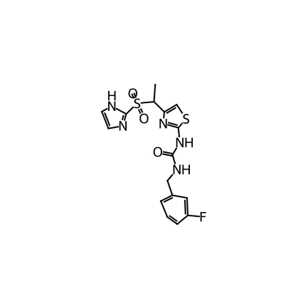 CC(c1csc(NC(=O)NCc2cccc(F)c2)n1)S(=O)(=O)c1ncc[nH]1